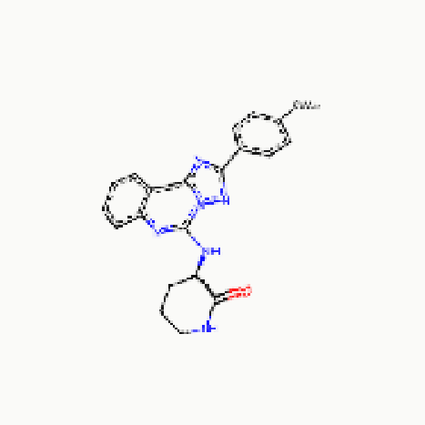 COc1ccc(-c2nc3c4ccccc4nc(N[C@@H]4CCCNC4=O)n3n2)cc1